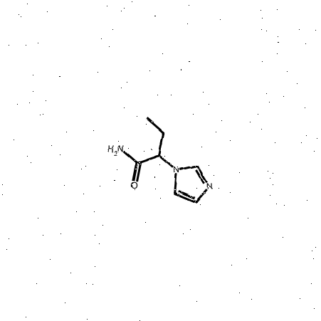 CCC(C(N)=O)n1ccnc1